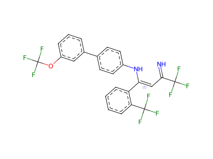 N=C(/C=C(\Nc1ccc(-c2cccc(OC(F)(F)F)c2)cc1)c1ccccc1C(F)(F)F)C(F)(F)F